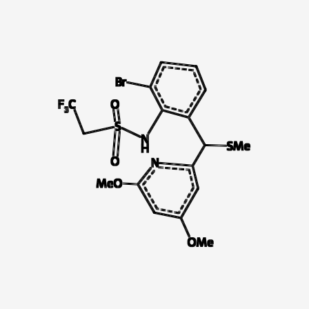 COc1cc(OC)nc(C(SC)c2cccc(Br)c2NS(=O)(=O)CC(F)(F)F)c1